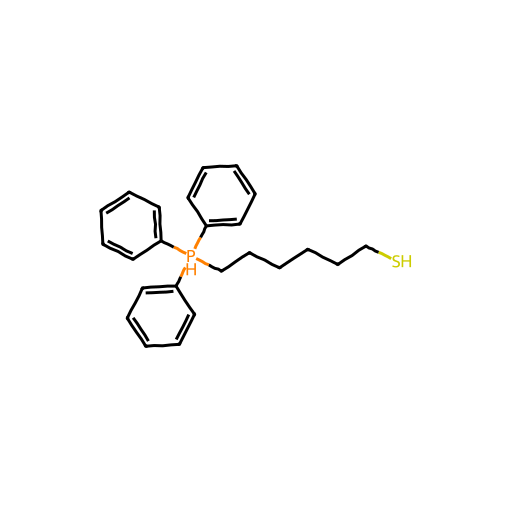 SCCCCCC[PH](c1ccccc1)(c1ccccc1)c1ccccc1